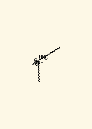 CCCCCCCCCCCCCC(=O)NCCCC[C@H](NC(=O)CCCCCCCCCCCCC)C(=O)NCCC